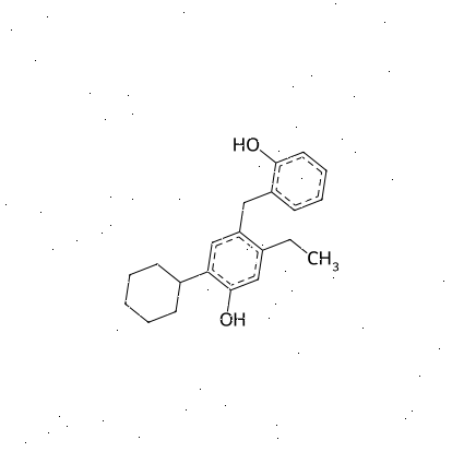 CCc1cc(O)c(C2CCCCC2)cc1Cc1ccccc1O